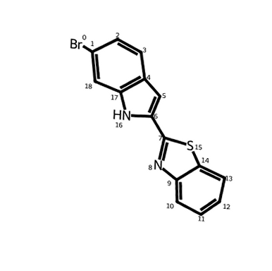 Brc1ccc2cc(-c3nc4ccccc4s3)[nH]c2c1